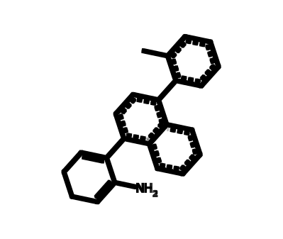 Cc1ccccc1-c1ccc(C2=CCCC=C2N)c2ccccc12